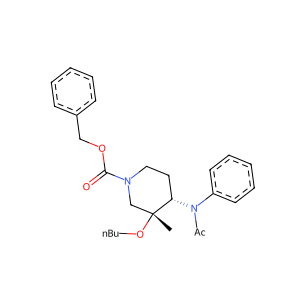 CCCCO[C@]1(C)CN(C(=O)OCc2ccccc2)CC[C@@H]1N(C(C)=O)c1ccccc1